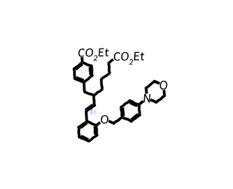 CCOC(=O)CCCCC(/C=C/c1ccccc1OCc1ccc(N2CCOCC2)cc1)Cc1ccc(C(=O)OCC)cc1